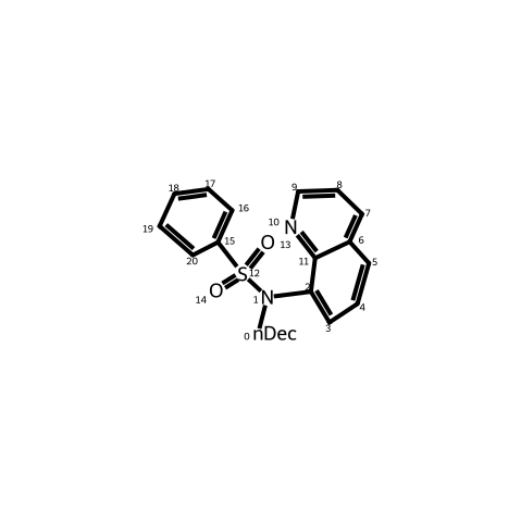 CCCCCCCCCCN(c1cccc2cccnc12)S(=O)(=O)c1ccccc1